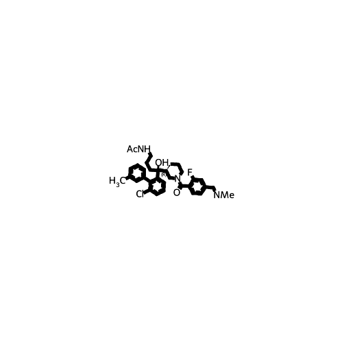 CNCc1ccc(C(=O)N2CCC[C@@H]([C@@](O)(CCCNC(C)=O)c3cccc(Cl)c3-c3cccc(C)c3)C2)c(F)c1